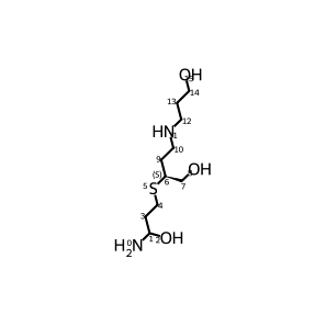 NC(O)CCS[C@H](CO)CCNCCCO